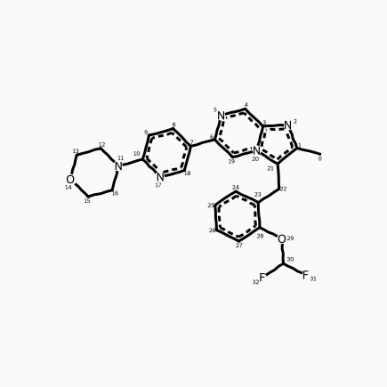 Cc1nc2cnc(-c3ccc(N4CCOCC4)nc3)cn2c1Cc1ccccc1OC(F)F